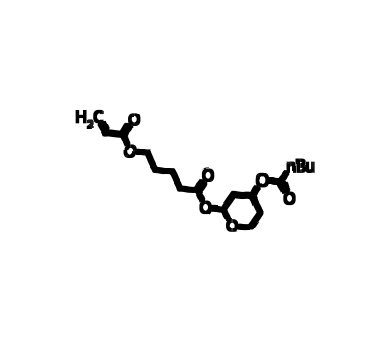 C=CC(=O)OCCCCC(=O)OC1CC(OC(=O)CCCC)CCO1